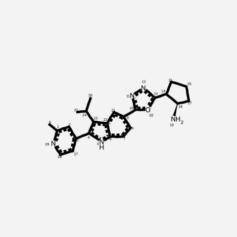 Cc1cc(-c2[nH]c3ccc(-c4nnc(C5CCC[C@H]5N)o4)cc3c2C(C)C)ccn1